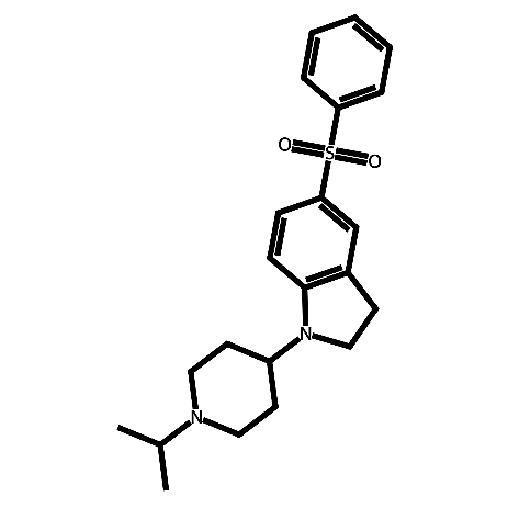 CC(C)N1CCC(N2CCc3cc(S(=O)(=O)c4ccccc4)ccc32)CC1